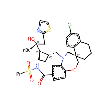 CCCC[C@@](O)(Cc1nccs1)[C@@H]1CC[C@H]1CN1C[C@@]2(CCCc3cc(Cl)ccc32)COc2ccc(C(=O)NS(=O)(=O)C(C)C)cc21